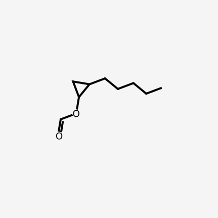 CCCCCC1CC1OC=O